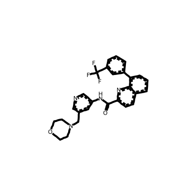 O=C(Nc1cncc(CN2CCOCC2)c1)c1ccc2cccc(-c3cccc(C(F)(F)F)c3)c2n1